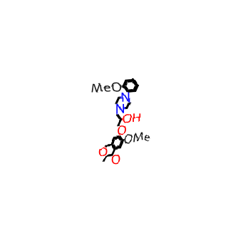 COc1cc2c(cc1OCC(O)CN1CCN(c3ccccc3OC)CC1)COC(C)C2=O